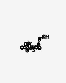 COc1cc2sc(CNC(=O)C3(CC(=O)[O-])Cc4ccccc4C3)nc2cc1OCCC[N+](C)(C)CCO